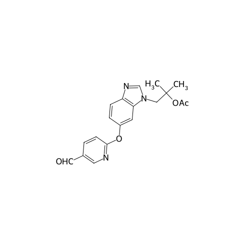 CC(=O)OC(C)(C)Cn1cnc2ccc(Oc3ccc(C=O)cn3)cc21